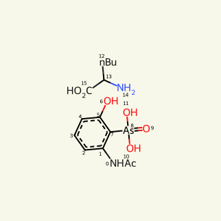 CC(=O)Nc1cccc(O)c1[As](=O)(O)O.CCCCC(N)C(=O)O